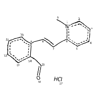 C[n+]1ccccc1/C=C/c1ccccc1C=O.Cl